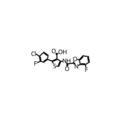 O=C(Nc1csc(-c2ccc(Cl)c(F)c2)c1C(=O)O)c1nc2c(F)cccc2o1